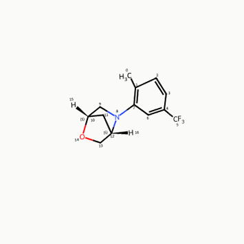 Cc1ccc(C(F)(F)F)cc1N1C[C@@H]2C[C@H]1CO2